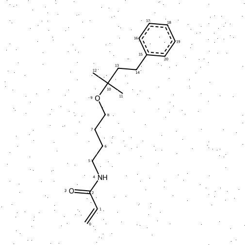 C=CC(=O)NCCCCOC(C)(C)CCc1ccccc1